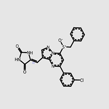 O=C1NC(=O)/C(=C/c2cnn3c([S+]([O-])Cc4ccccc4)cc(-c4cccc(Cl)c4)nc23)N1